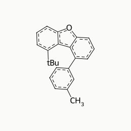 Cc1cccc(-c2cccc3oc4cccc(C(C)(C)C)c4c23)c1